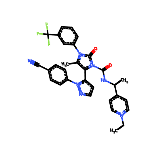 CC[n+]1ccc(C(C)NC(=O)n2c(-c3ccnn3-c3ccc(C#N)cc3)c(C)n(-c3cccc(C(F)(F)F)c3)c2=O)cc1